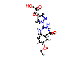 CCOc1ccc2nc(-n3cc(OC(=O)O)cn3)[nH]c(=O)c2c1